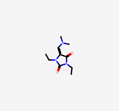 CCN1C(=O)C(=CN(C)C)N(CC)C1=O